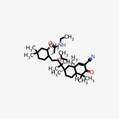 CCNC(=O)C[C@]1(CCC(C)(C)[C@]2(C)CC[C@H]3C(C)(C)C(=O)C(C#N)=C[C@]3(C)[C@H]2CC(C)=O)CCC(C)(C)CC1C